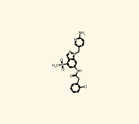 CS(=O)(=O)c1cc(NC(=O)Cc2ccccc2Cl)cc2c1cnn2Cc1ccc(N)nc1